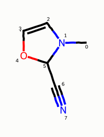 CN1C=[C]OC1C#N